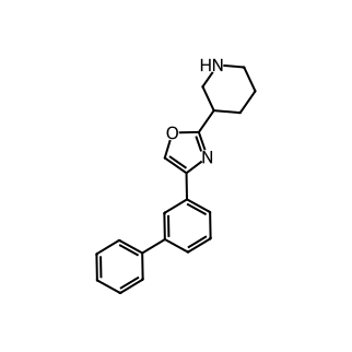 c1ccc(-c2cccc(-c3coc(C4CCCNC4)n3)c2)cc1